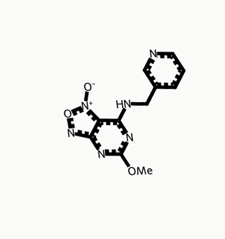 COc1nc(NCc2cccnc2)c2c(no[n+]2[O-])n1